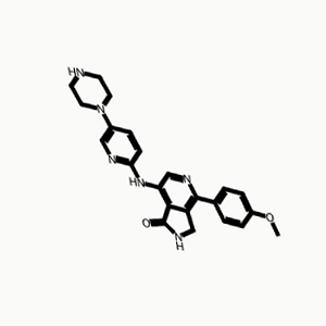 COc1ccc(-c2ncc(Nc3ccc(N4CCNCC4)cn3)c3c2CNC3=O)cc1